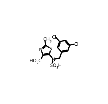 Cc1nc(C(=O)O)c(N(Cc2cc(Cl)cc(Cl)c2)S(=O)(=O)O)s1